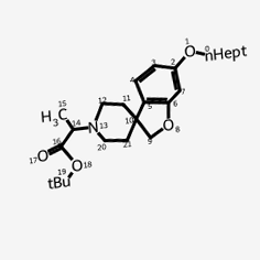 CCCCCCCOc1ccc2c(c1)OCC21CCN(C(C)C(=O)OC(C)(C)C)CC1